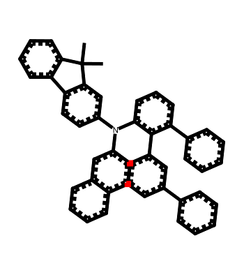 CC1(C)c2ccccc2-c2ccc(N(c3ccc4ccccc4c3)c3cccc(-c4ccccc4)c3-c3cccc(-c4ccccc4)c3)cc21